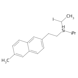 Cc1ccc2cc(CC[SiH](C(C)C)C(C)I)ccc2c1